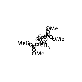 COc1ccc(N(c2ccc(OC)cc2)c2ccc(C3=C4C(=O)N(C)C(c5ccc(N(c6ccc(OC)cc6)c6ccc(OC)cc6)cc5)=C4C(=O)N3C)cc2)cc1